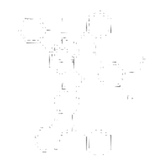 CC1(C)c2ccccc2-c2cc3c4cc5c6ccccc6n(C6=CCCC=C6)c5cc4n(-c4cc(C#N)c(C=N)cc4-n4c5ccccc5c5ccccc54)c3cc21